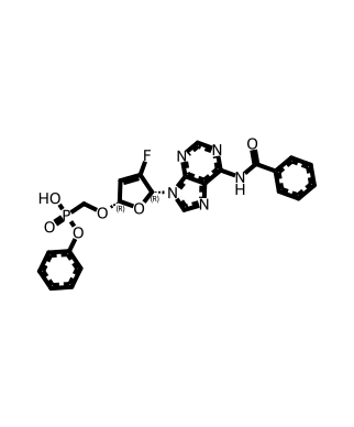 O=C(Nc1ncnc2c1ncn2[C@@H]1O[C@H](OCP(=O)(O)Oc2ccccc2)C=C1F)c1ccccc1